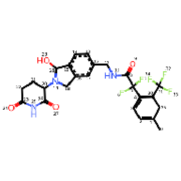 CC1=CC=C(C(F)(F)C(=O)NCc2ccc3c(c2)CN(C2CCC(=O)NC2=O)C3O)C(C(F)(F)F)C1